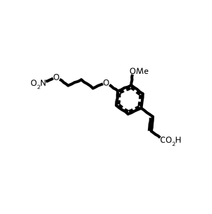 COc1cc(C=CC(=O)O)ccc1OCCCO[N+](=O)[O-]